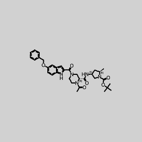 CC(=O)N1CCN(C(=O)c2cc3cc(OCc4ccccc4)ccc3[nH]2)C[C@@H]1C(=O)N[C@H]1C[C@@H](C)N(C(=O)OC(C)(C)C)C1